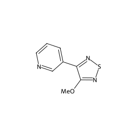 COc1nsnc1-c1cccnc1